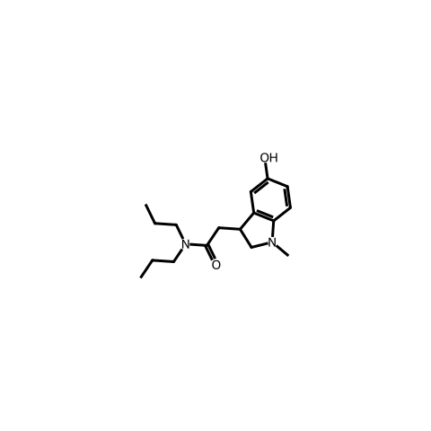 CCCN(CCC)C(=O)CC1CN(C)c2ccc(O)cc21